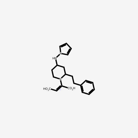 O=C(O)/C=C(/C(=O)O)N1CCC(Nn2cccc2)CC1CCc1ccccc1